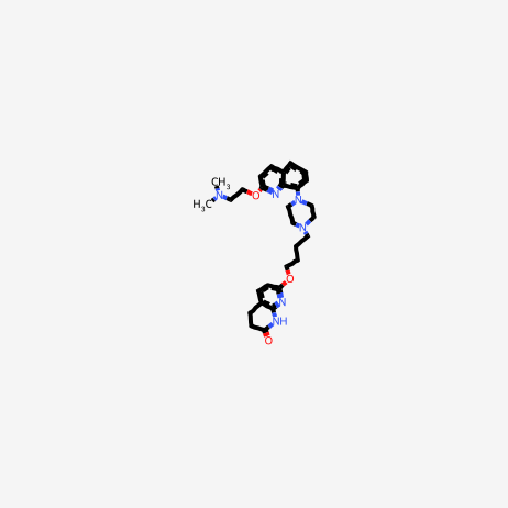 CN(C)CCOc1ccc2cccc(N3CCN(CCCCOc4ccc5c(n4)NC(=O)CC5)CC3)c2n1